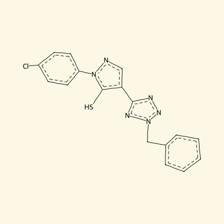 Sc1c(-c2nnn(Cc3ccccc3)n2)cnn1-c1ccc(Cl)cc1